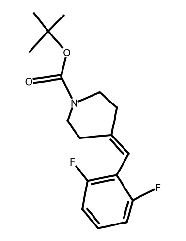 CC(C)(C)OC(=O)N1CCC(=Cc2c(F)cccc2F)CC1